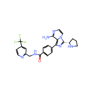 Nc1nccn2c([C@@H]3CCCN3)nc(-c3ccc(C(=O)NCc4cc(C(F)(F)F)ccn4)cc3)c12